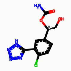 NC(=O)O[C@H](CO)c1ccc(Cl)c(-c2nnn[nH]2)c1